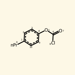 CCCc1ccc(OC(=O)Cl)cc1